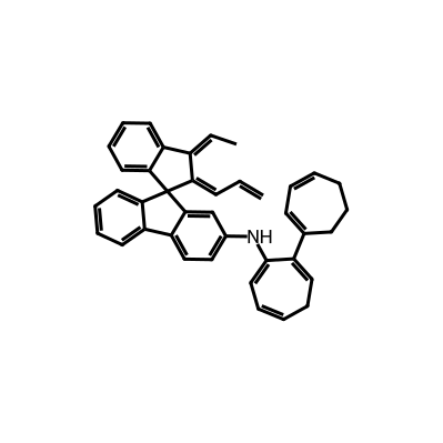 C=C/C=C1\C(=C/C)c2ccccc2C12c1ccccc1-c1ccc(NC3=CC=CCC=C3C3=CC=CCCC3)cc12